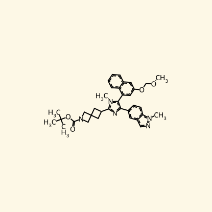 COCOc1cc(-c2c(-c3ccc4c(cnn4C)c3)nc(C3CC4(C3)CN(C(=O)OC(C)(C)C)C4)n2C)c2ccccc2c1